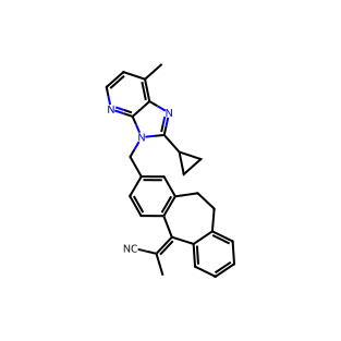 CC(C#N)=C1c2ccccc2CCc2cc(Cn3c(C4CC4)nc4c(C)ccnc43)ccc21